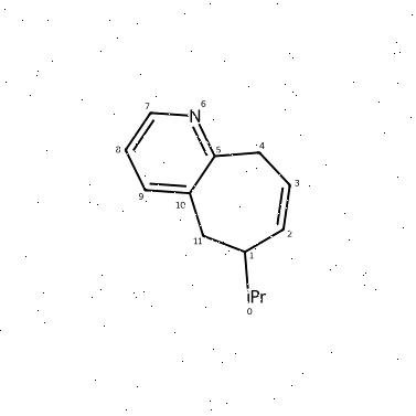 CC(C)C1C=CCc2ncccc2C1